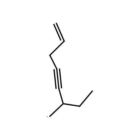 [CH2]C(C#CCC=C)CC